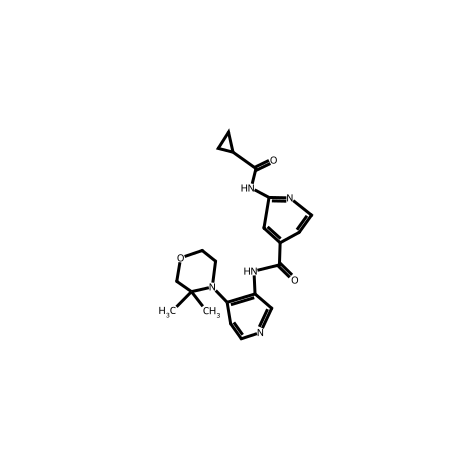 CC1(C)COCCN1c1ccncc1NC(=O)c1ccnc(NC(=O)C2CC2)c1